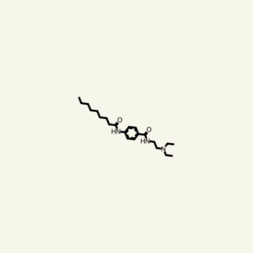 CCCCCCCCC(=O)Nc1ccc(C(=O)NCCN(CC)CC)cc1